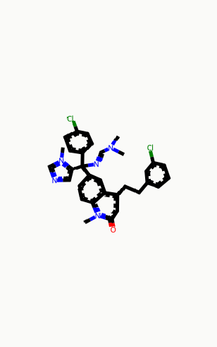 CN(C)/C=N/C(c1ccc(Cl)cc1)(c1ccc2c(c1)c(CCc1cccc(Cl)c1)cc(=O)n2C)c1cncn1C